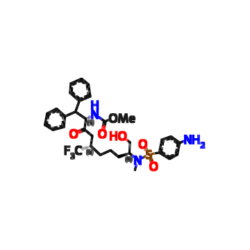 COC(=O)N[C@H](C(=O)C[C@H](CCC[C@@H](CO)N(C)S(=O)(=O)c1ccc(N)cc1)C(F)(F)F)C(c1ccccc1)c1ccccc1